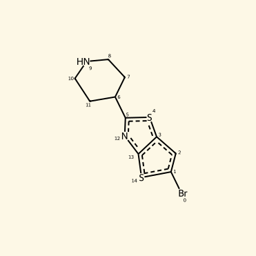 Brc1cc2sc(C3CCNCC3)nc2s1